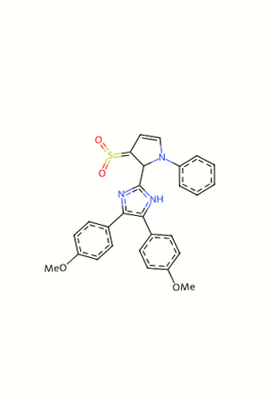 COc1ccc(-c2nc(C3C(=S(=O)=O)C=CN3c3ccccc3)[nH]c2-c2ccc(OC)cc2)cc1